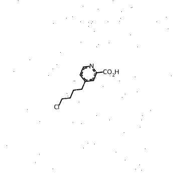 O=C(O)c1cc(CCCCCl)ccn1